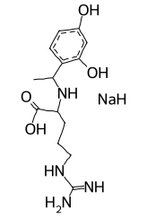 CC(NC(CCCNC(=N)N)C(=O)O)c1ccc(O)cc1O.[NaH]